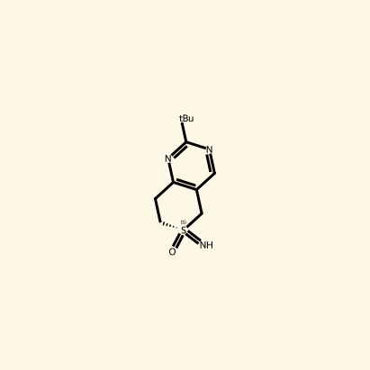 CC(C)(C)c1ncc2c(n1)CC[S@](=N)(=O)C2